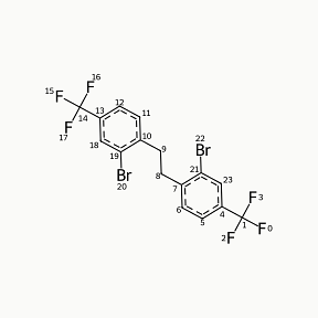 FC(F)(F)c1ccc(CCc2ccc(C(F)(F)F)cc2Br)c(Br)c1